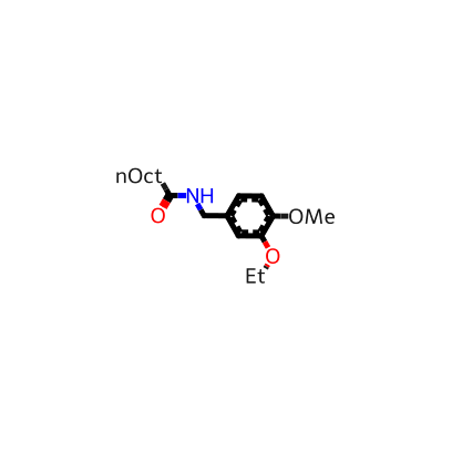 CCCCCCCCC(=O)NCc1ccc(OC)c(OCC)c1